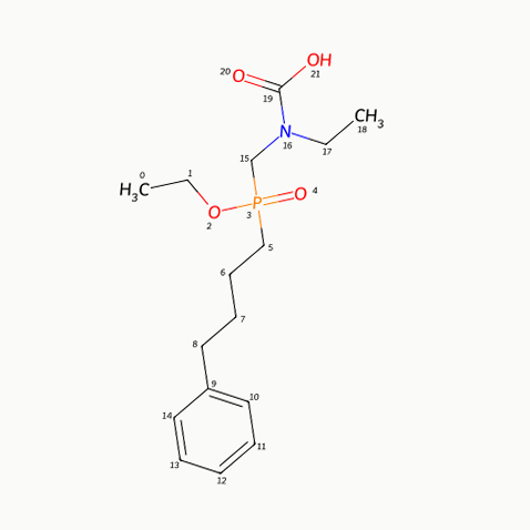 CCOP(=O)(CCCCc1ccccc1)CN(CC)C(=O)O